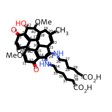 COC1=CC(=O)C2=C3C1=C1C(OC)=CC(=O)C4=C1C1C3=C(CC(C)=CC1C(NCCCCCC(=O)O)=C4NCCCCCC(=O)O)C(OC)C2O